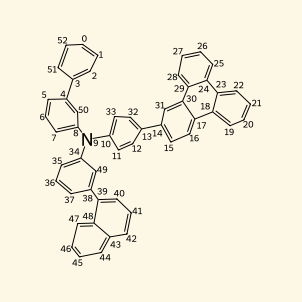 c1ccc(-c2cccc(N(c3ccc(-c4ccc5c6ccccc6c6ccccc6c5c4)cc3)c3cccc(-c4cccc5ccccc45)c3)c2)cc1